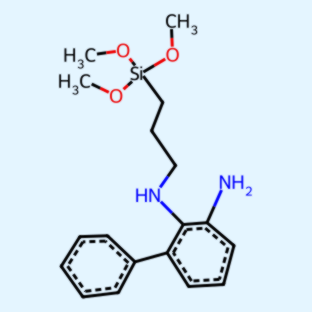 CO[Si](CCCNc1c(N)cccc1-c1ccccc1)(OC)OC